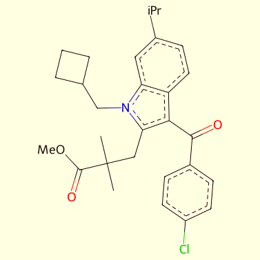 COC(=O)C(C)(C)Cc1c(C(=O)c2ccc(Cl)cc2)c2ccc(C(C)C)cc2n1CC1CCC1